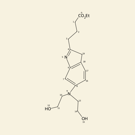 CCOC(=O)CCCC1=Nc2cc(N(CCO)CCO)ccc2C1